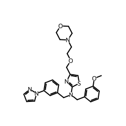 COc1cccc(CN(Cc2cccc(-n3cccn3)c2)c2nc(COCCN3CCOCC3)cs2)c1